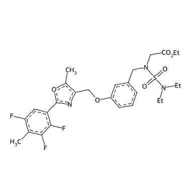 CCOC(=O)CN(Cc1cccc(OCc2nc(-c3cc(F)c(C)c(F)c3F)oc2C)c1)S(=O)(=O)N(CC)CC